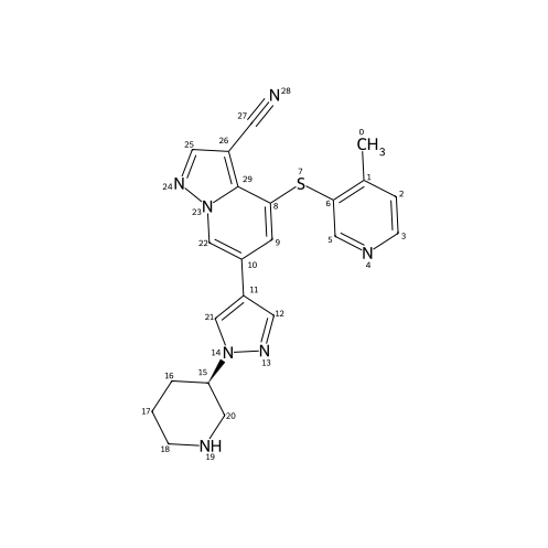 Cc1ccncc1Sc1cc(-c2cnn([C@@H]3CCCNC3)c2)cn2ncc(C#N)c12